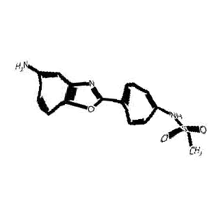 CS(=O)(=O)Nc1ccc(-c2nc3cc(N)ccc3o2)cc1